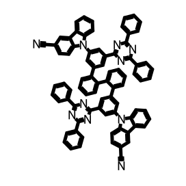 N#Cc1ccc2c(c1)c1ccccc1n2-c1cc(-c2nc(-c3ccccc3)nc(-c3ccccc3)n2)cc(-c2ccccc2-c2ccccc2-c2cc(-c3nc(-c4ccccc4)nc(-c4ccccc4)n3)cc(-n3c4ccccc4c4cc(C#N)ccc43)c2)c1